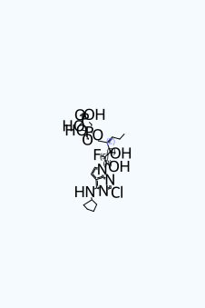 CC/C=C(/COP(=O)(O)CP(=O)(O)O)[C@@H](O)[C@H](F)[C@@H](O)n1ccc2c(NC3CCCC3)nc(Cl)nc21